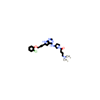 CN(C)CC=CC(=O)N1CCC(Nc2ncnc3[nH]c(C#CCOc4ccccc4Cl)cc23)C1